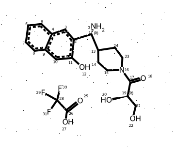 N[C@@H](c1cc2ccccc2cc1O)C1CCN(C(=O)[C@H](O)CO)CC1.O=C(O)C(F)(F)F